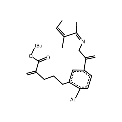 C=C(CCCc1cc(C(=C)C/N=C(I)\C(C)=C/C)ccc1C(C)=O)C(=O)OC(C)(C)C